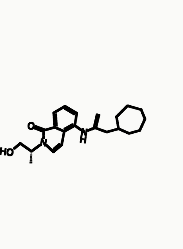 C=C(CC1CCCCCC1)Nc1cccc2c(=O)n([C@H](C)CO)ccc12